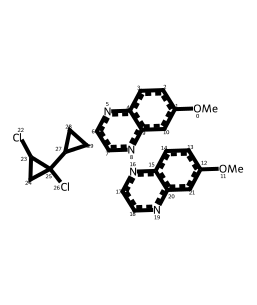 COc1ccc2nccnc2c1.COc1ccc2nccnc2c1.ClC1CC1(Cl)C1CC1